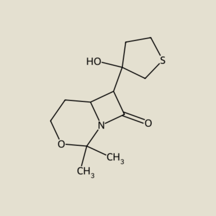 CC1(C)OCCC2C(C3(O)CCSC3)C(=O)N21